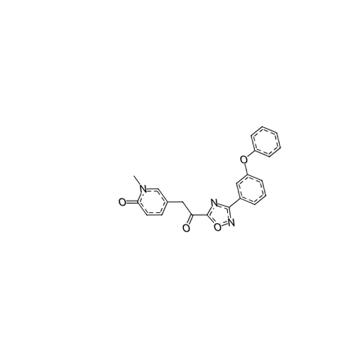 Cn1cc(CC(=O)c2nc(-c3cccc(Oc4ccccc4)c3)no2)ccc1=O